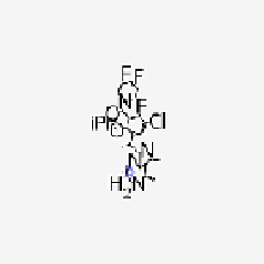 C=C(N)c1c(C)nc(C(C)c2cc(Cl)c(F)c(C(=O)N3CCC(F)(F)CC3)c2OC(C)C)n1/C=C\C